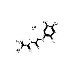 C=C(C)C(=O)OC(=O)COc1cc(Cl)c(Cl)cc1Cl.[Cu]